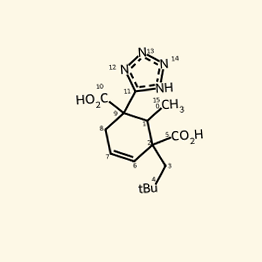 CC1C(CC(C)(C)C)(C(=O)O)C=CCC1(C(=O)O)c1nnn[nH]1